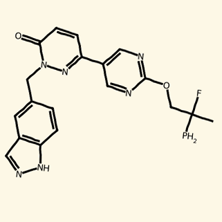 CC(F)(P)COc1ncc(-c2ccc(=O)n(Cc3ccc4[nH]ncc4c3)n2)cn1